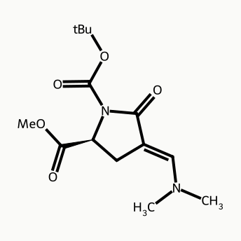 COC(=O)[C@@H]1C/C(=C\N(C)C)C(=O)N1C(=O)OC(C)(C)C